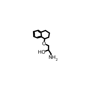 NCC(O)COC1CCCc2ccccc21